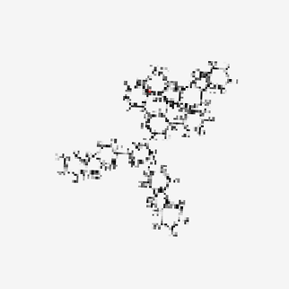 c1ccc(-c2cc(-c3nc(-c4ccc5c(c4)sc4ccccc45)nc(-c4ccc5c(c4)sc4ccccc45)n3)cc(-c3ccccc3)c2-n2c3ccccc3c3c4oc5ccccc5c4ccc32)cc1